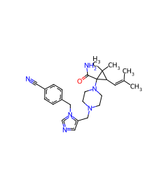 CC(C)=CC1C(C)(C)C1(C(N)=O)N1CCN(Cc2cncn2Cc2ccc(C#N)cc2)CC1